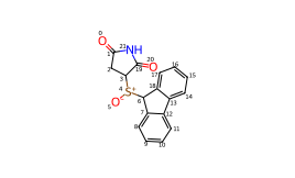 O=C1CC([S+]([O-])C2c3ccccc3-c3ccccc32)C(=O)N1